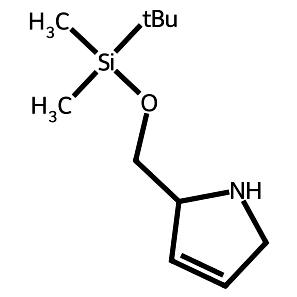 CC(C)(C)[Si](C)(C)OCC1C=CCN1